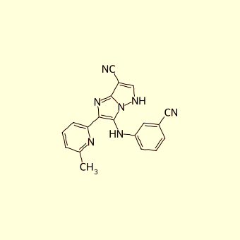 Cc1cccc(-c2nc3c(C#N)c[nH]n3c2Nc2cccc(C#N)c2)n1